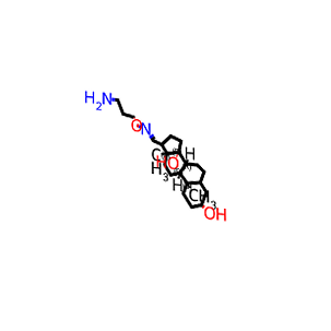 C[C@]12CCC(O)CC1CC[C@@H]1[C@H]2CC[C@]2(C)C(C=NOCCCN)CC[C@@]12O